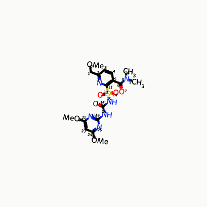 COCc1ccc(C(=O)N(C)C)c(S(=O)(=O)NC(=O)Nc2nc(OC)cc(OC)n2)n1